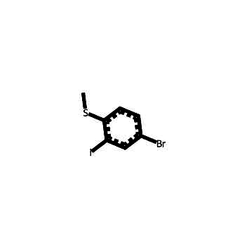 CSc1ccc(Br)cc1I